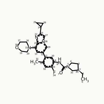 CC[C@@H]1CCN(C(=O)Nc2cc(-c3cc(N4CCOCC4)c4nc(C5CC5)cn4c3)c(C)cc2F)C1